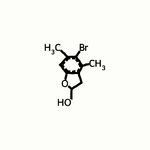 Cc1cc2c(c(C)c1Br)CC(CO)O2